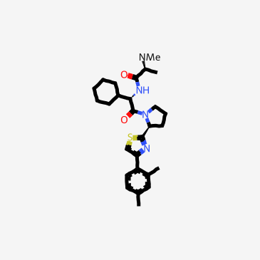 CN[C@@H](C)C(=O)N[C@H](C(=O)N1CCC[C@H]1c1nc(-c2ccc(C)cc2C)cs1)C1CCCCC1